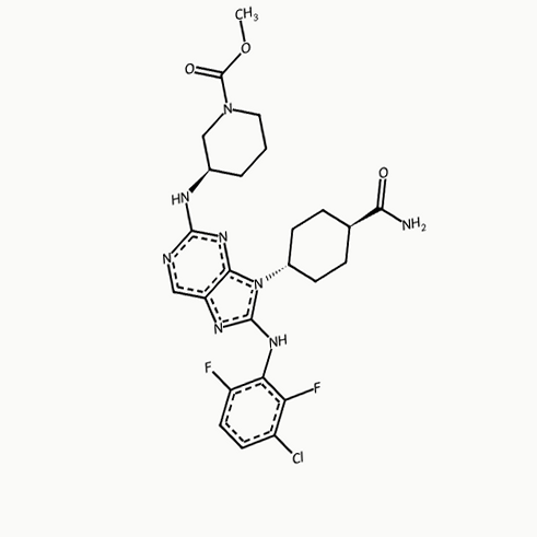 COC(=O)N1CCC[C@@H](Nc2ncc3nc(Nc4c(F)ccc(Cl)c4F)n([C@H]4CC[C@H](C(N)=O)CC4)c3n2)C1